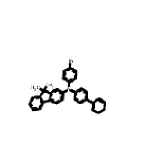 CC1(C)c2ccccc2-c2ccc(N(c3ccc(Br)cc3)c3ccc(C4=CCCC=C4)cc3)cc21